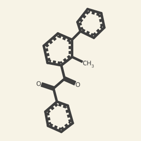 Cc1c(C(=O)C(=O)c2ccccc2)cccc1-c1ccccc1